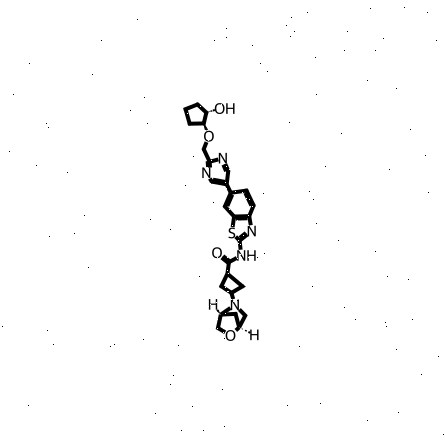 O=C(Nc1nc2ccc(-c3cnc(CO[C@H]4CCC[C@@H]4O)nc3)cc2s1)C1CC(N2C[C@@H]3C[C@H]2CO3)C1